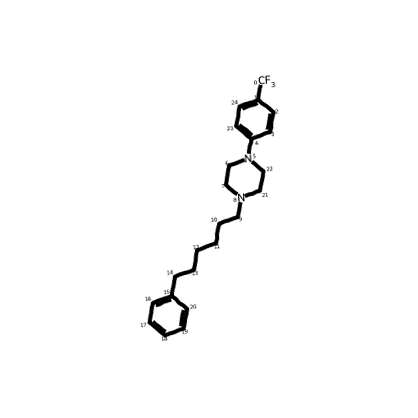 FC(F)(F)c1ccc(N2CCN(CCCCCCc3ccccc3)CC2)cc1